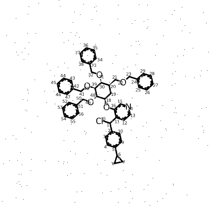 ClC(c1ccc(C2CC2)cc1)c1ccncc1O[C@@H]1C[C@H](COCc2ccccc2)[C@@H](OCc2ccccc2)[C@H](OCc2ccccc2)[C@H]1OCc1ccccc1